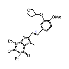 CCn1c(=O)c2c(nc(/C=C/c3ccc(OC)c(OC4CCOC4)c3)n2C)n(CC)c1=O